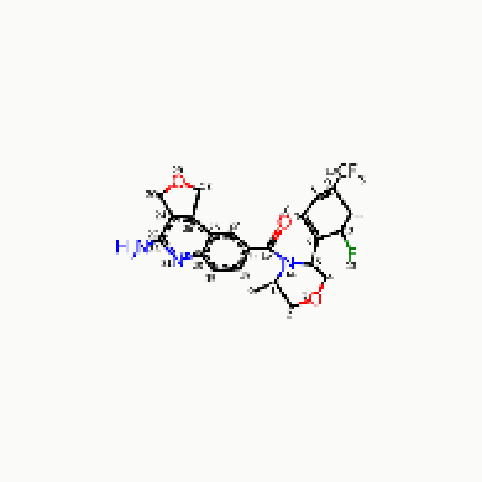 C[C@@H]1COC[C@H](C2=CC=C(C(F)(F)F)CC2F)N1C(=O)c1ccc2nc(N)c3c(c2c1)COC3